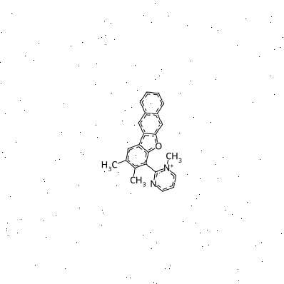 Cc1cc2c(oc3cc4ccccc4cc32)c(-c2nccc[n+]2C)c1C